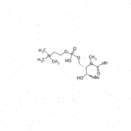 CCCC[C@@H](O)[C@H](COP(=O)(O)OCC[N+](C)(C)C)N(C)C(=O)CCC